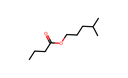 CC[CH]C(=O)OCCCC(C)C